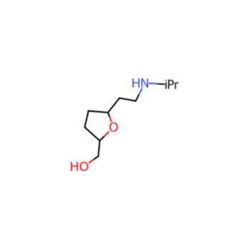 CC(C)NCCC1CCC(CO)O1